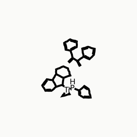 C1=CC2C(C=C1)[CH]([Ti]1([PH]c3ccccc3)[CH2][CH2]1)C1CCCCC21.C=C(C(=C)c1ccccc1)c1ccccc1